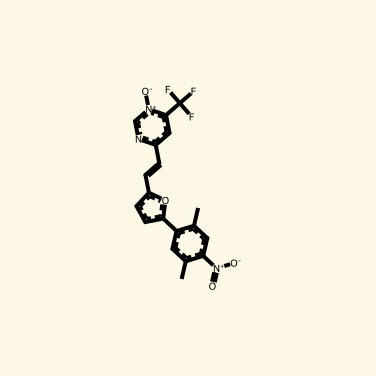 Cc1cc([N+](=O)[O-])c(C)cc1-c1ccc(C=Cc2cc(C(F)(F)F)[n+]([O-])cn2)o1